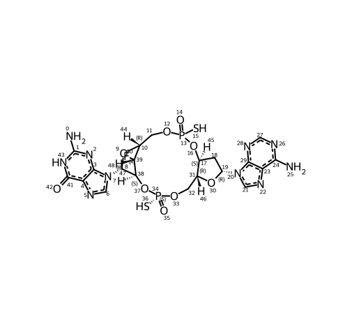 Nc1nc2c(ncn2[C@@H]2O[C@@H]3COP(=O)(S)O[C@H]4C[C@H](n5cnc6c(N)ncnc65)O[C@@H]4CO[P@](=O)(S)O[C@@H]2[C@@H]3F)c(=O)[nH]1